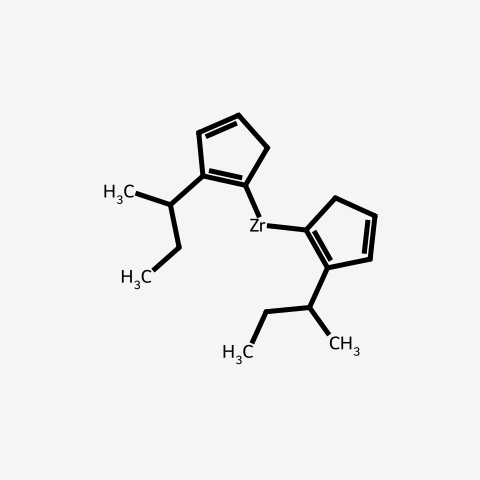 CCC(C)C1=[C]([Zr][C]2=C(C(C)CC)C=CC2)CC=C1